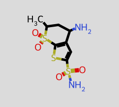 CC1CC(N)c2cc(S(N)(=O)=O)sc2S1(=O)=O